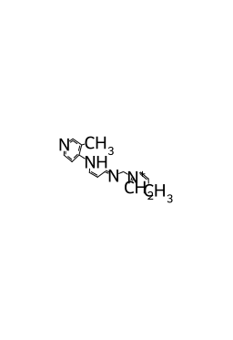 C=[N+](/C=C\C)C/N=C/C=C\Nc1ccncc1C